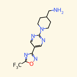 NCC1CCN(c2ncc(-c3noc(C(F)(F)F)n3)cn2)CC1